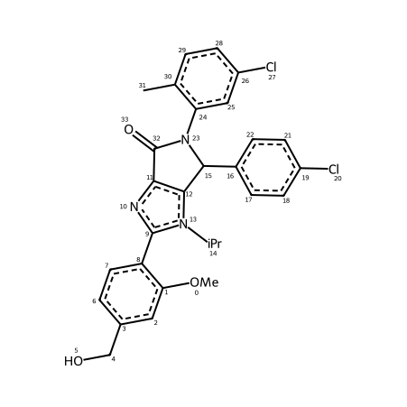 COc1cc(CO)ccc1-c1nc2c(n1C(C)C)C(c1ccc(Cl)cc1)N(c1cc(Cl)ccc1C)C2=O